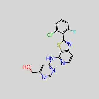 OCc1cc(Nc2nccc3nc(-c4c(F)cccc4Cl)sc23)ncn1